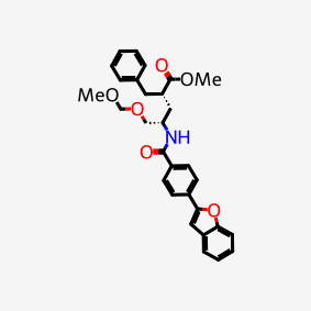 COCOC[C@H](C[C@H](Cc1ccccc1)C(=O)OC)NC(=O)c1ccc(-c2cc3ccccc3o2)cc1